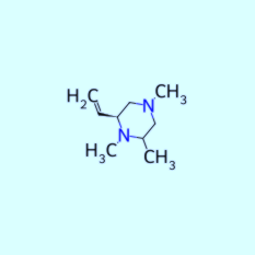 C=C[C@H]1CN(C)CC(C)N1C